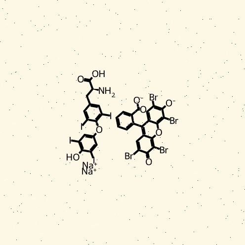 N[C@@H](Cc1cc(I)c(Oc2cc(I)c(O)c(I)c2)c(I)c1)C(=O)O.O=C([O-])c1ccccc1-c1c2cc(Br)c(=O)c(Br)c-2oc2c(Br)c([O-])c(Br)cc12.[Na+].[Na+]